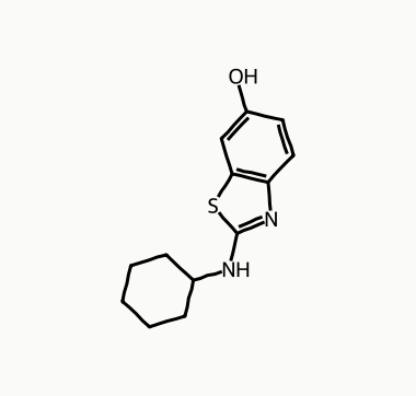 Oc1ccc2nc(NC3CCCCC3)sc2c1